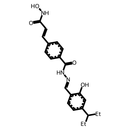 CCC(CC)c1ccc(/C=N/NC(=O)c2ccc(/C=C/C(=O)NO)cc2)c(O)c1